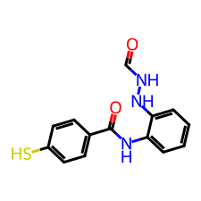 O=CNNc1ccccc1NC(=O)c1ccc(S)cc1